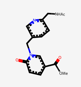 COC(=O)c1ccc(=O)n(Cc2ccc(CNC(C)=O)nc2)c1